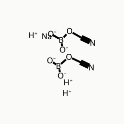 N#COB([O-])[O-].N#COB([O-])[O-].[H+].[H+].[H+].[Na+]